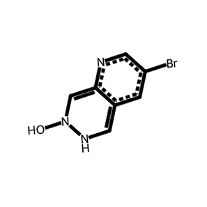 ON1C=c2ncc(Br)cc2=CN1